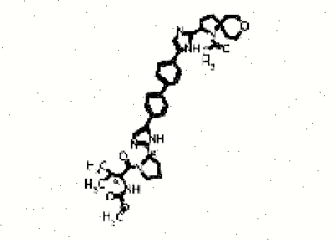 COC(=O)N[C@H](C(=O)N1CCC[C@H]1c1ncc(-c2ccc(-c3ccc(-c4cnc(C5CCC6(CCOCC6)N5C(C)=O)[nH]4)cc3)cc2)[nH]1)C(C)C